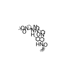 Cc1ccc2c(NC(=O)[C@H]3C[C@@H]3C)cccc2c1Oc1ncccc1-c1ccnc(N[C@H]2CCCN(C(=O)OC(C)(C)C)C2)n1